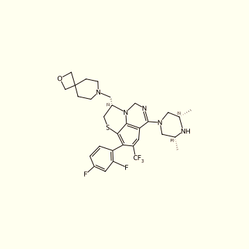 C[C@@H]1CN(C2=NCN3c4c2cc(C(F)(F)F)c(-c2ccc(F)cc2F)c4SC[C@@H]3CN2CCC3(CC2)COC3)C[C@H](C)N1